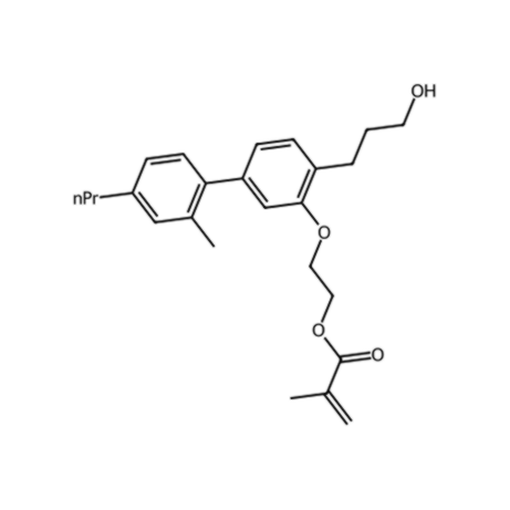 C=C(C)C(=O)OCCOc1cc(-c2ccc(CCC)cc2C)ccc1CCCO